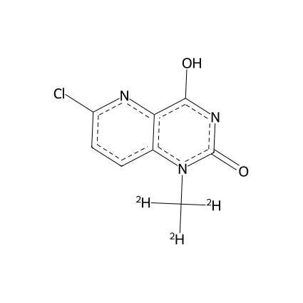 [2H]C([2H])([2H])n1c(=O)nc(O)c2nc(Cl)ccc21